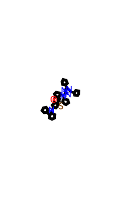 c1ccc(-c2nc(-c3ccccc3)nc(N3c4cccc5c4B4c6c(cc(-n7c8ccccc8c8ccccc87)cc6Sc6cccc3c64)O5)n2)cc1